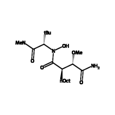 CCCCCCCC[C@@H](C(=O)N(O)[C@H](C(=O)NC)C(C)(C)C)[C@H](OC)C(N)=O